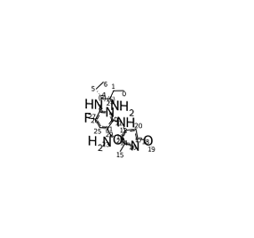 CC[C@H](N)[C@@H](CC)Nc1nc(Nc2cc(C)nc(OC)c2)c(C(N)=O)cc1F